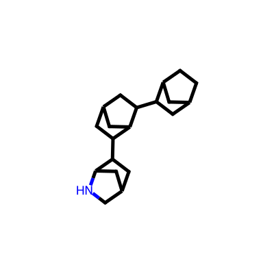 C1CC2CC1CC2C1CC2CC(C3CC4CNC3C4)C1C2